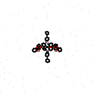 c1ccc(-c2ccc(N3c4ccc(-c5ccccc5)cc4C4(c5cc(-c6ccccc6)ccc53)c3cc(-c5cccc6c5oc5ccccc56)ccc3N(c3ccc(-c5ccccc5)cc3)c3ccc(-c5cccc6c5oc5ccccc56)cc34)cc2)cc1